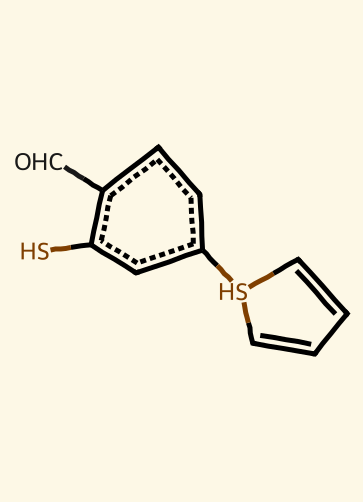 O=Cc1ccc([SH]2C=CC=C2)cc1S